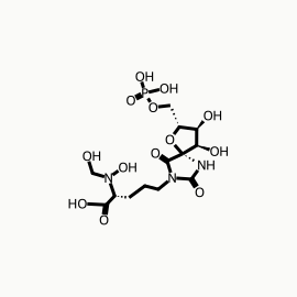 O=C(O)[C@@H](CCCN1C(=O)N[C@@]2(O[C@H](COP(=O)(O)O)[C@@H](O)[C@H]2O)C1=O)N(O)CO